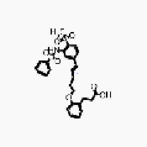 CS(=O)(=O)c1ccc(/C=C/CCCOc2ccccc2CCC(=O)O)cc1NS(=O)(=O)c1ccccc1